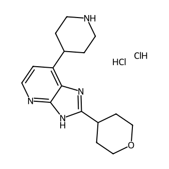 Cl.Cl.c1cc(C2CCNCC2)c2nc(C3CCOCC3)[nH]c2n1